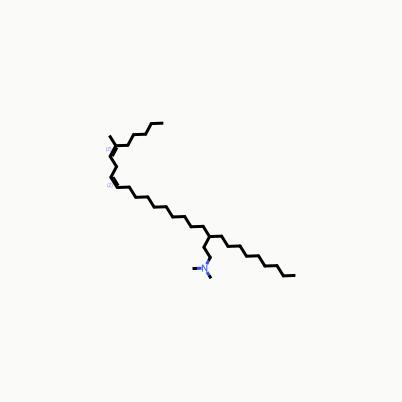 CCCCCCCCCC(CCCCCCCCC/C=C\C/C=C(/C)CCCCC)CCN(C)C